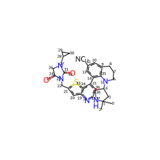 CC1(C)CC(N2CCCc3cc(C#N)cc(-c4ccnc5cc(CN6C(=O)CN(C7CC7)C6=O)sc45)c32)CN1